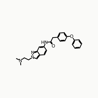 CN(C)CCn1cc2ccc(NC(=O)Cc3ccc(Oc4ccccc4)cc3)cc2n1